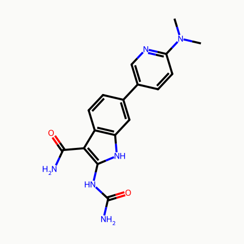 CN(C)c1ccc(-c2ccc3c(C(N)=O)c(NC(N)=O)[nH]c3c2)cn1